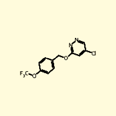 FC(F)(F)Oc1ccc(COc2cc(Cl)cnn2)cc1